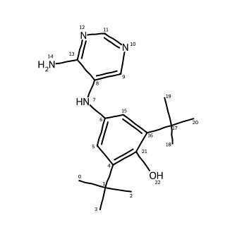 CC(C)(C)c1cc(Nc2cncnc2N)cc(C(C)(C)C)c1O